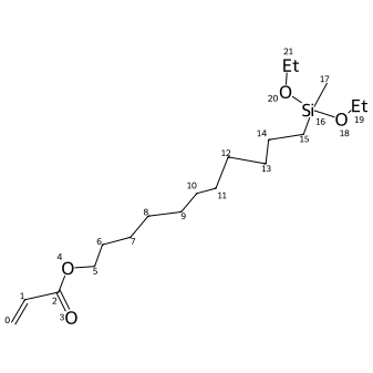 C=CC(=O)OCCCCCCCCCCC[Si](C)(OCC)OCC